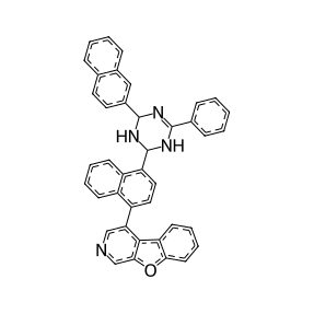 c1ccc(C2=NC(c3ccc4ccccc4c3)NC(c3ccc(-c4cncc5oc6ccccc6c45)c4ccccc34)N2)cc1